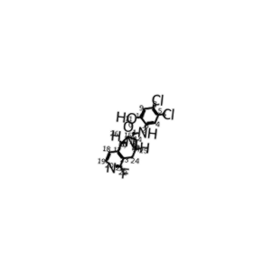 O=C(Nc1cc(Cl)c(Cl)cc1O)N1[C@@H]2CC[C@H]1c1ccnc(F)c1C2